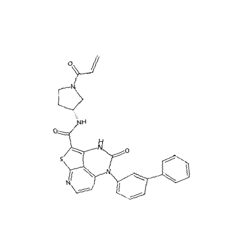 C=CC(=O)N1CC[C@@H](NC(=O)c2sc3nccc4c3c2NC(=O)N4c2cccc(-c3ccccc3)c2)C1